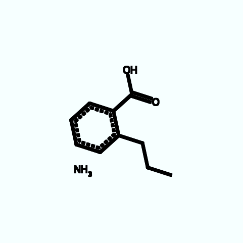 CCCc1ccccc1C(=O)O.N